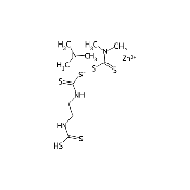 CN(C)C.CN(C)C(=S)[S-].S=C([S-])NCCNC(=S)S.[Zn+2]